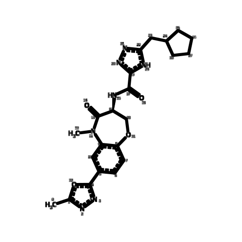 Cc1nnc(-c2ccc3c(c2)N(C)C(=O)[C@@H](NC(=O)c2nnc(CC4CCCC4)[nH]2)CO3)o1